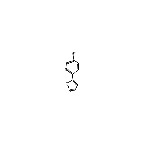 CC(C)c1ccc(-c2ccno2)nc1